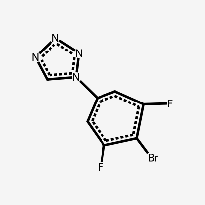 Fc1cc(-n2cnnn2)cc(F)c1Br